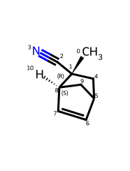 C[C@@]1(C#N)CC2C=C[C@@H]1C2